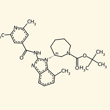 Cc1cc(C(=O)Nc2nc3cccc(C)c3n2[C@@H]2CCCCN(C(=O)OC(C)(C)C)C2)cc(C)n1